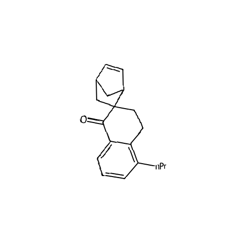 CCCc1cccc2c1CCC1(CC3C=CC1C3)C2=O